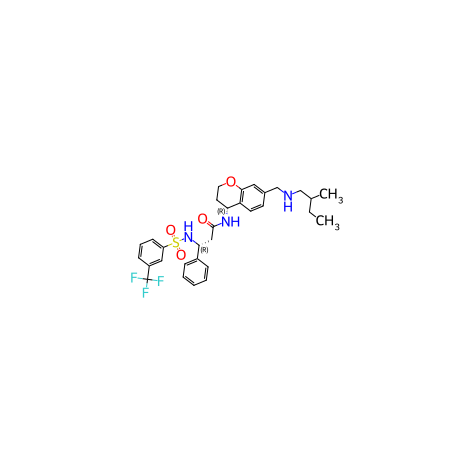 CCC(C)CNCc1ccc2c(c1)OCC[C@H]2NC(=O)C[C@@H](NS(=O)(=O)c1cccc(C(F)(F)F)c1)c1ccccc1